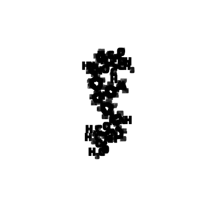 COC(=O)N[C@H](C(=O)N1CCC[C@H]1c1nc(-c2ccc([C@@H]3CC[C@H](c4ccc(-c5c[nH]c([C@@H]6CCCN6C(=O)[C@H](C(C)C)N(C)C(=O)O)n5)cc4)N3c3ccc(C4CC4)cc3)cc2)c[nH]1)C(C)C